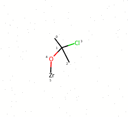 CC(C)(Cl)[O][Zr]